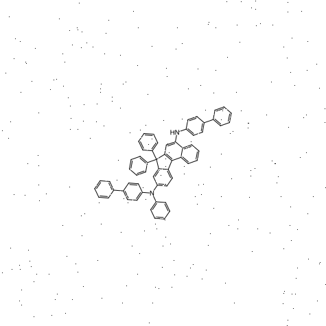 c1ccc(-c2ccc(Nc3cc4c(c5ccccc35)-c3ccc(N(c5ccccc5)c5ccc(-c6ccccc6)cc5)cc3C4(c3ccccc3)c3ccccc3)cc2)cc1